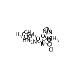 COc1ccc(Cl)cc1-c1nn(CC(=O)N2CC[C@@H](NC(=O)OC(C)(C)C)C2)cc1NC(=O)c1cnn2c#ccnc12